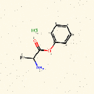 CC(C)C(N)C(=O)Oc1ccccc1.Cl